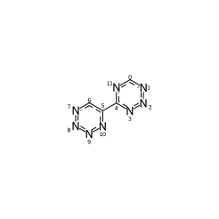 c1nnnc(-c2cnnnn2)n1